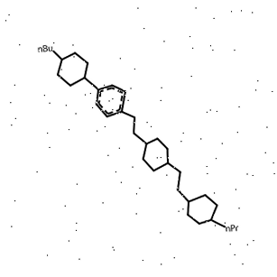 CCCCC1CCC(c2ccc(CCC3CCC(CCC4CCC(CCC)CC4)CC3)cc2)CC1